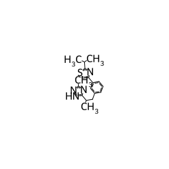 Cc1n[nH]c(C(C)Cc2cccc(-c3csc(C(C)C)n3)c2)n1